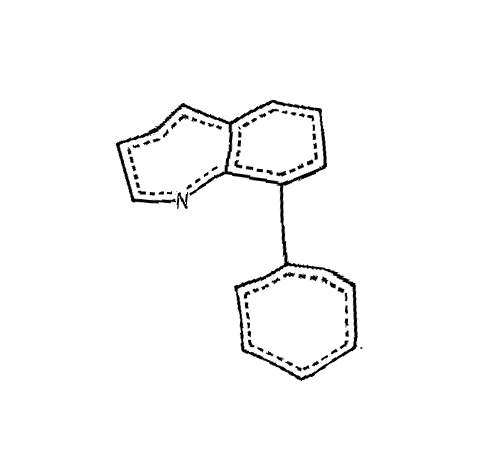 [c]1cccc(-c2cccc3cccnc23)c1